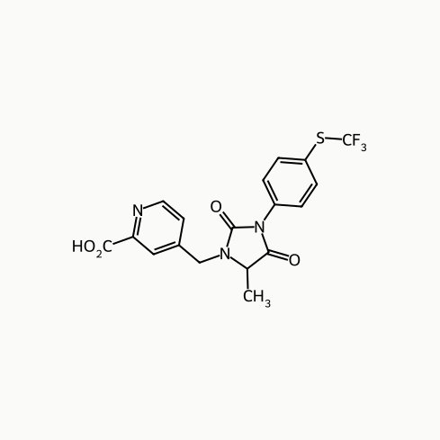 CC1C(=O)N(c2ccc(SC(F)(F)F)cc2)C(=O)N1Cc1ccnc(C(=O)O)c1